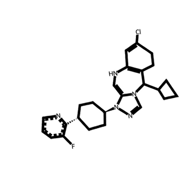 Fc1cccnc1[C@H]1CC[C@H](N2N=CN3C2=CNC2=C(CCC(Cl)=C2)C3C2CCC2)CC1